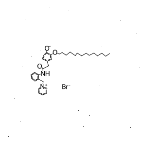 CCCCCCCCCCCCCCOc1cc(CC(=O)Nc2ccccc2C[n+]2ccccc2)ccc1OC.[Br-]